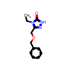 CCn1c(COCc2ccccc2)n[nH]c1=O